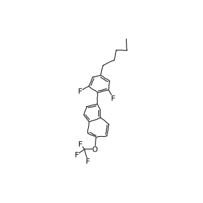 CCCCCc1cc(F)c(-c2ccc3cc(OC(F)(F)F)ccc3c2)c(F)c1